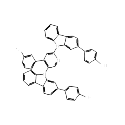 Cc1ccc(-c2ccc3c4ccccc4n(-c4cc(-c5cccc(C#N)c5)c(-n5c6ccccc6c6ccc(-c7ccc(C)cc7)cc65)cn4)c3c2)cc1